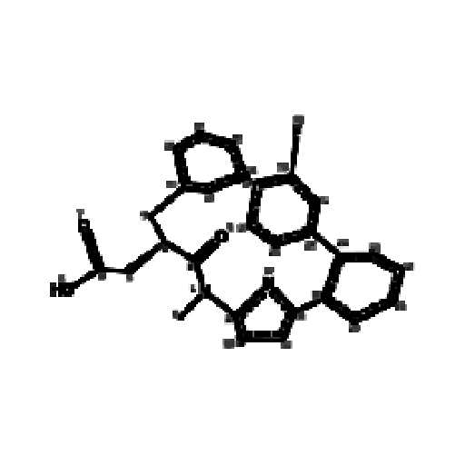 CN(C(=O)[C@@H](CC(=O)O)Cc1ccccc1)c1nc(-c2ccccc2-c2cccc(F)c2)cs1